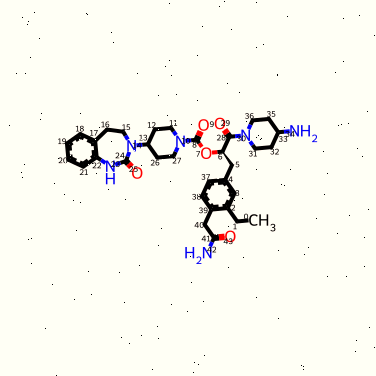 CCc1cc(C[C@@H](OC(=O)N2CCC(N3CCc4ccccc4NC3=O)CC2)C(=O)N2CCC(N)CC2)ccc1CC(N)=O